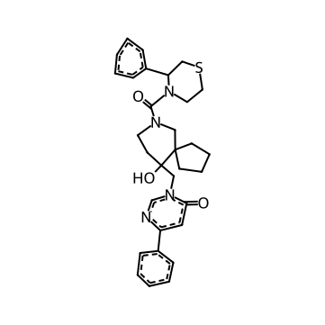 O=C(N1CCC(O)(Cn2cnc(-c3ccccc3)cc2=O)C2(CCCC2)C1)N1CCSCC1c1ccccc1